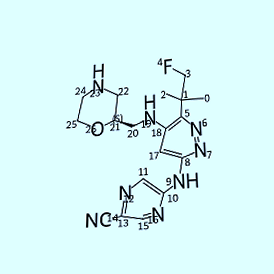 CC(C)(CF)c1nnc(Nc2cnc(C#N)cn2)cc1NC[C@@H]1CNCCO1